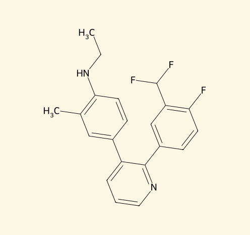 CCNc1ccc(-c2cccnc2-c2ccc(F)c(C(F)F)c2)cc1C